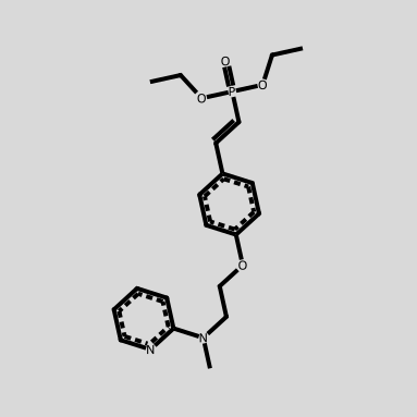 CCOP(=O)(C=Cc1ccc(OCCN(C)c2ccccn2)cc1)OCC